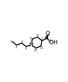 [CH2]CCCN1CCC(C(=O)O)CC1